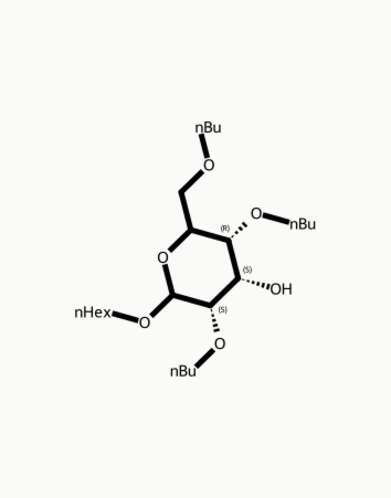 CCCCCCOC1OC(COCCCC)[C@H](OCCCC)[C@H](O)[C@@H]1OCCCC